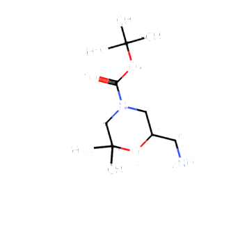 CC(C)(C)OC(=O)N1CC(CN)OC(C)(C)C1